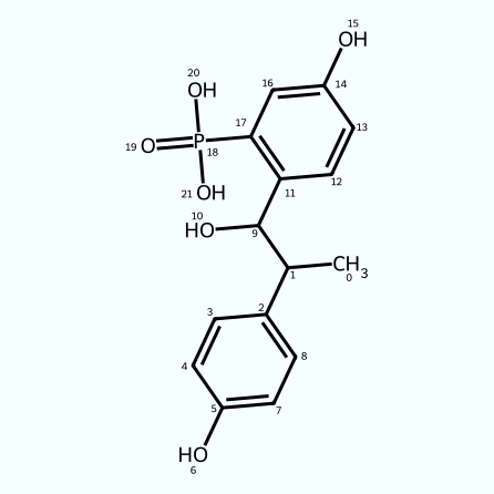 CC(c1ccc(O)cc1)C(O)c1ccc(O)cc1P(=O)(O)O